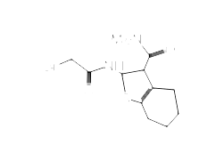 CNC(=O)C1C2=C(CCCC2)SC1NC(=O)CBr